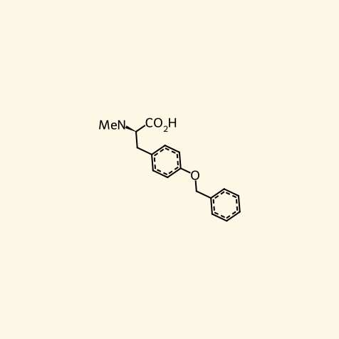 CN[C@H](Cc1ccc(OCc2ccccc2)cc1)C(=O)O